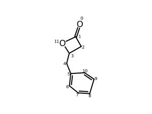 O=C1CC(Cc2ccccc2)O1